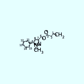 C=CCC(=O)OCc1cc(-c2ccccc2)n(C)n1